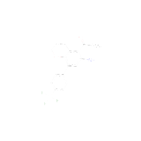 COC(=O)c1c(N)cc(-c2ccc(S(F)(F)F)cc2)c2c1CCCO2